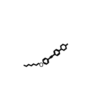 CCCCCCCOc1ccc(C#Cc2ccc(C3CCC(C)CC3)cc2)cc1